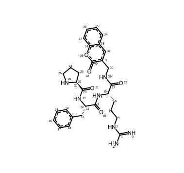 N=C(N)NCCC[C@H](NC(=O)[C@H](Cc1ccccc1)NC(=O)[C@@H]1CCCN1)C(=O)NCc1cc2ccccc2oc1=O